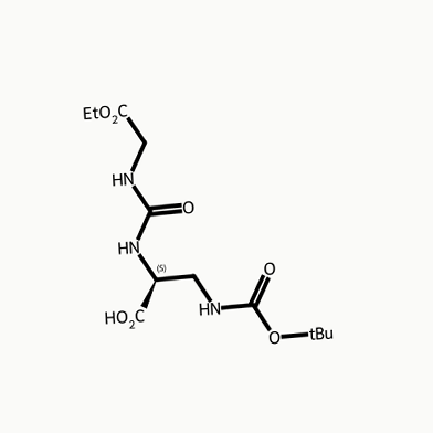 CCOC(=O)CNC(=O)N[C@@H](CNC(=O)OC(C)(C)C)C(=O)O